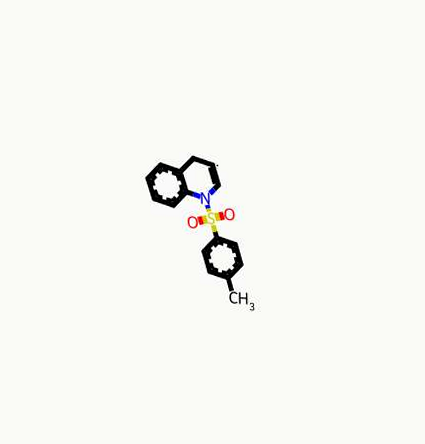 Cc1ccc(S(=O)(=O)N2C=[C]Cc3ccccc32)cc1